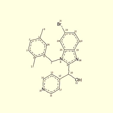 Cc1ccc(C)c(Cn2c(C(O)c3ccncc3)nc3ccc(Br)cc32)c1